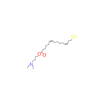 CCN(CC)CCCCOC(=O)CCCC/C=C\CCCC/C=C\CCS